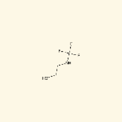 OCCNC(F)(F)F